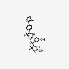 Cc1ncsc1-c1ccc(C(NC(=O)[C@@H]2C[C@@H](O)CN2C(=O)[C@@H](NC(=O)O)C(C)(C)C)C(F)(F)F)cc1